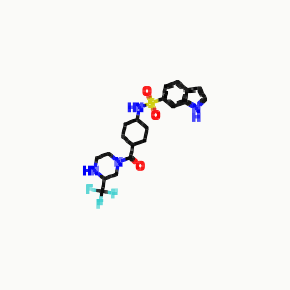 O=C(C1CCC(NS(=O)(=O)c2ccc3cc[nH]c3c2)CC1)N1CCNC(C(F)(F)F)C1